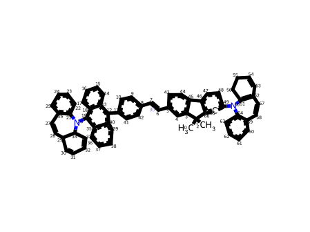 CC1(C)c2cc(/C=C/c3ccc(-c4c5ccccc5c(N5c6ccccc6C=CC6C=CC=CC65)c5ccccc45)cc3)ccc2-c2ccc(N3C4=C(C=CCC4)C=Cc4ccccc43)cc21